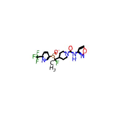 C[C@](F)(C1CCN(C(=O)Nc2ccon2)CC1)[S+]([O-])c1ccc(C(F)(F)F)nc1